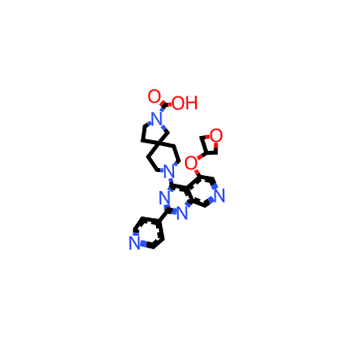 O=C(O)N1CCC2(CCN(c3nc(-c4ccncc4)nc4cncc(OC5COC5)c34)CC2)C1